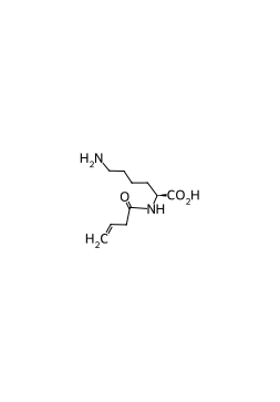 C=CCC(=O)N[C@@H](CCCCN)C(=O)O